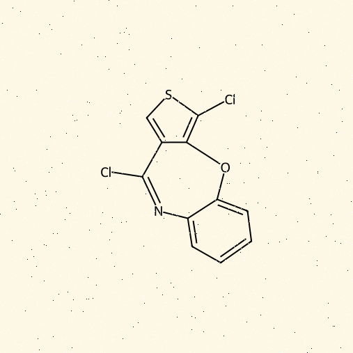 ClC1=Nc2ccccc2Oc2c1csc2Cl